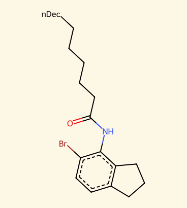 CCCCCCCCCCCCCCCC(=O)Nc1c(Br)ccc2c1CCC2